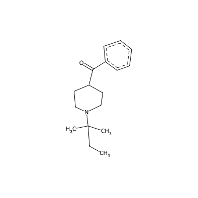 CCC(C)(C)N1CCC(C(=O)c2ccccc2)CC1